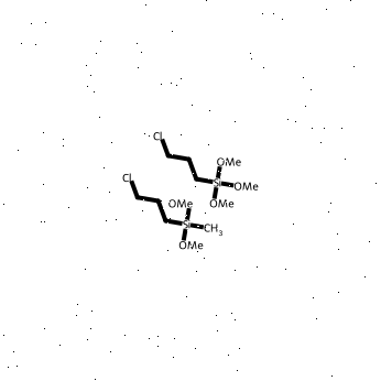 CO[Si](C)(CCCCl)OC.CO[Si](CCCCl)(OC)OC